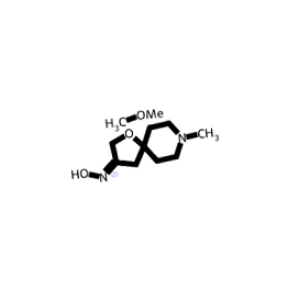 CN1CCC2(CC1)C/C(=N/O)CO2.COC